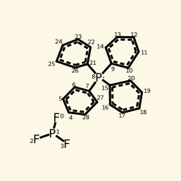 FP(F)F.c1ccc([P](c2ccccc2)(c2ccccc2)c2ccccc2)cc1